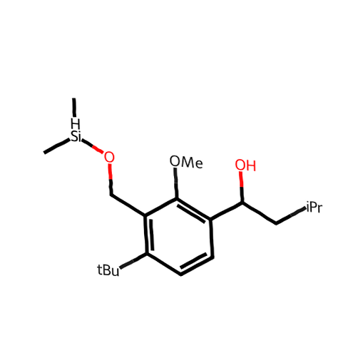 COc1c(C(O)CC(C)C)ccc(C(C)(C)C)c1CO[SiH](C)C